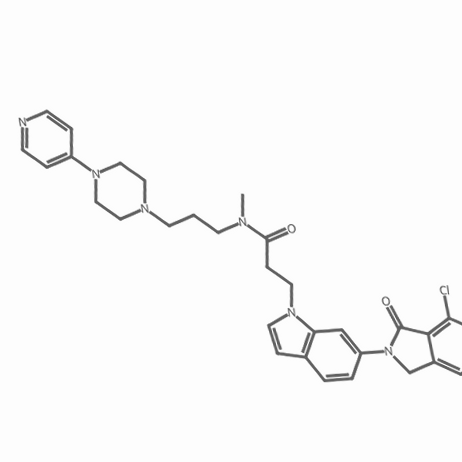 CN(CCCN1CCN(c2ccncc2)CC1)C(=O)CCn1ccc2ccc(N3Cc4cccc(Cl)c4C3=O)cc21